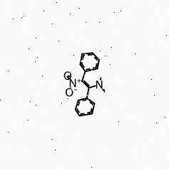 CN(C)/C(=C(\c1ccccc1)[N+](=O)[O-])c1ccccc1